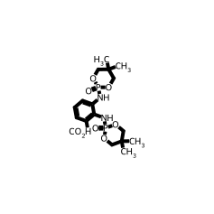 CC1(C)COP(=O)(Nc2cccc(C(=O)O)c2NP2(=O)OCC(C)(C)CO2)OC1